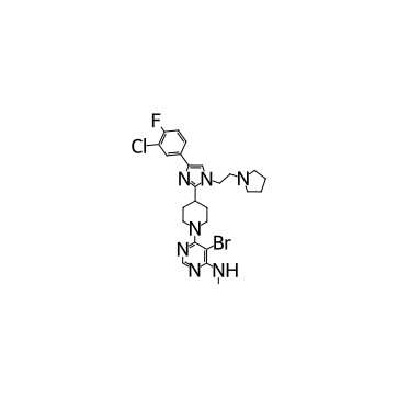 CNc1ncnc(N2CCC(c3nc(-c4ccc(F)c(Cl)c4)cn3CCN3CCCC3)CC2)c1Br